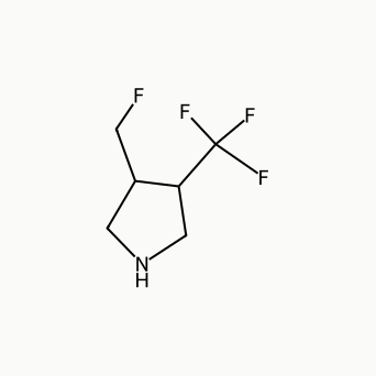 FCC1CNCC1C(F)(F)F